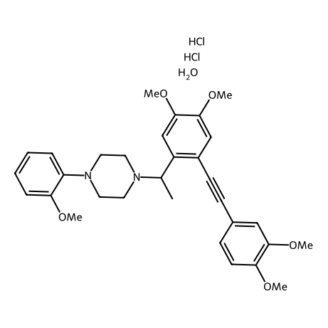 COc1ccc(C#Cc2cc(OC)c(OC)cc2C(C)N2CCN(c3ccccc3OC)CC2)cc1OC.Cl.Cl.O